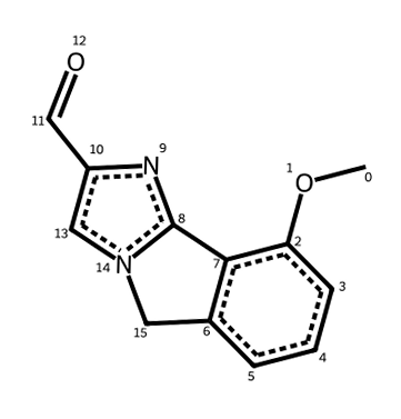 COc1cccc2c1-c1nc(C=O)cn1C2